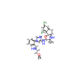 CCC[C@@H](N[C@H]1CCc2cc(F)cc(F)c2C1)C(=O)Nc1cn(-c2ccccc2CNCCOCC)cn1